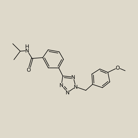 COc1ccc(Cn2nnc(-c3cccc(C(=O)NC(C)C)c3)n2)cc1